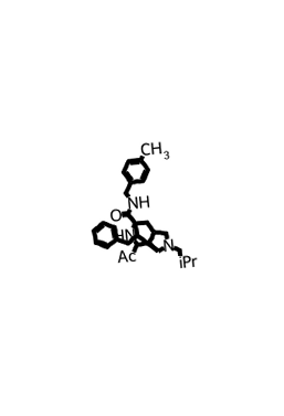 CC(=O)C1NC2(C(=O)NCc3ccc(C)cc3)CC3CN(CC(C)C)C(C31)C2Cc1ccccc1